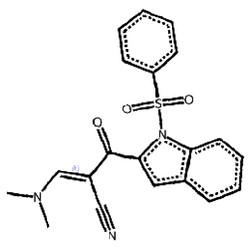 CN(C)/C=C(\C#N)C(=O)c1cc2ccccc2n1S(=O)(=O)c1ccccc1